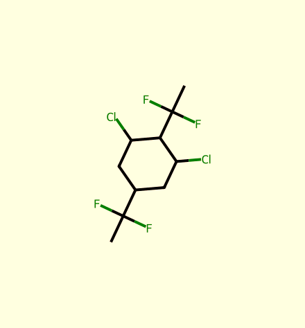 CC(F)(F)C1CC(Cl)C(C(C)(F)F)C(Cl)C1